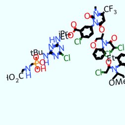 CC(C)OC(=O)c1cc(-n2c(=O)cc(C(F)(F)F)n(C)c2=O)ccc1Cl.CC1COc2ccccc2N1C(=O)C(Cl)Cl.CCNc1nc(Cl)nc(NC(C)(C)C)n1.CCc1cccc(C)c1N(C(=O)CCl)C(C)COC.C[S+](C)C.O=C(O)CNCP(=O)([O-])O